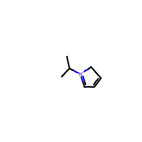 CC(C)[N+]1=CC=CC1